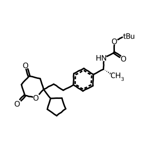 C[C@@H](NC(=O)OC(C)(C)C)c1ccc(CCC2(C3CCCC3)CC(=O)CC(=O)O2)cc1